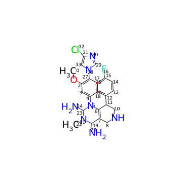 COc1cc(N2C3=C(CNCC3c3ccc(F)cc3)C(N)N(C)C2N)ccc1-n1cnc(Cl)c1